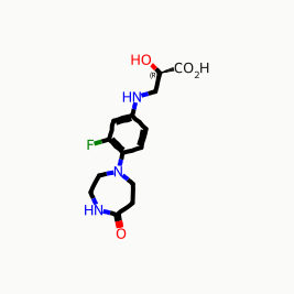 O=C1CCN(c2ccc(NC[C@@H](O)C(=O)O)cc2F)CCN1